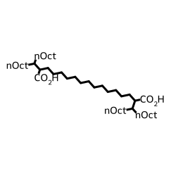 CCCCCCCCC(CCCCCCCC)C(CCCCCCCCCCCCCC(C(=O)O)C(CCCCCCCC)CCCCCCCC)C(=O)O